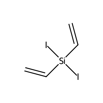 C=C[Si](I)(I)C=C